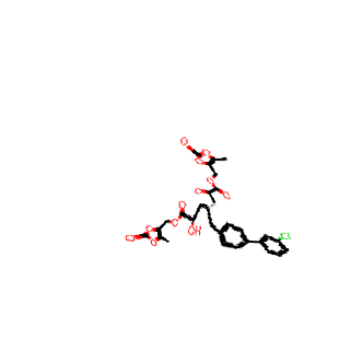 Cc1oc(=O)oc1COC(=O)C(=O)C[C@H](Cc1ccc(-c2cccc(Cl)c2)cc1)C[C@@H](O)C(=O)OCc1oc(=O)oc1C